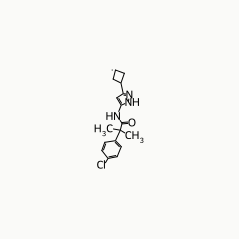 CC(C)(C(=O)Nc1cc(C2C[CH]C2)n[nH]1)c1ccc(Cl)cc1